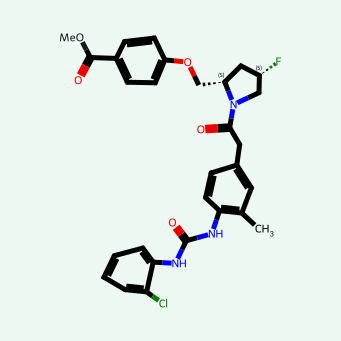 COC(=O)c1ccc(OC[C@@H]2C[C@H](F)CN2C(=O)Cc2ccc(NC(=O)Nc3ccccc3Cl)c(C)c2)cc1